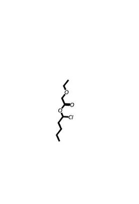 CCCCC(Cl)OC(=O)COCC